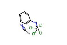 CC#N.[Cl][W]([Cl])([Cl])([Cl])=[N]c1ccccc1